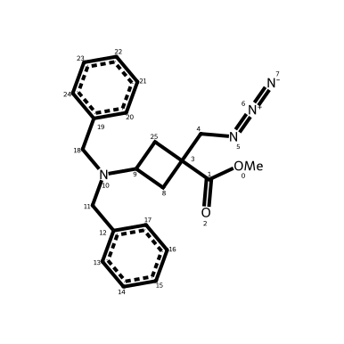 COC(=O)C1(CN=[N+]=[N-])CC(N(Cc2ccccc2)Cc2ccccc2)C1